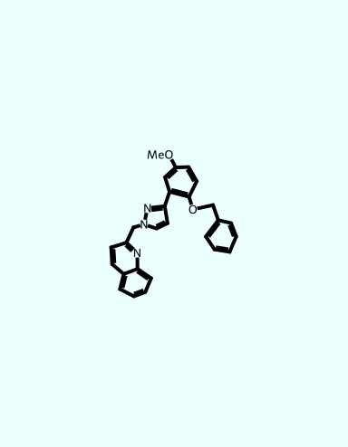 COc1ccc(OCc2ccccc2)c(-c2ccn(Cc3ccc4ccccc4n3)n2)c1